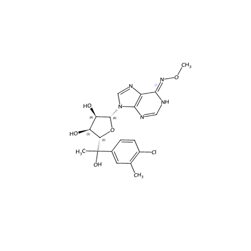 CO/N=c1\[nH]cnc2c1ncn2[C@@H]1O[C@H](C(C)(O)c2ccc(Cl)c(C)c2)[C@@H](O)[C@H]1O